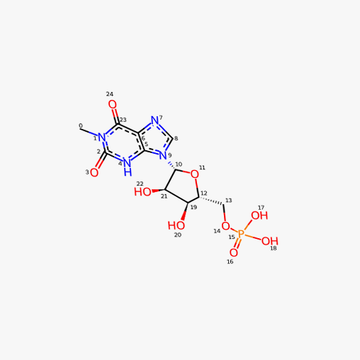 Cn1c(=O)[nH]c2c(ncn2[C@@H]2O[C@H](COP(=O)(O)O)[C@@H](O)[C@H]2O)c1=O